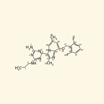 CCCNc1nc(N)nc(-c2c(C)nc3c(OCc4c(F)cccc4F)cc(C)cn23)n1